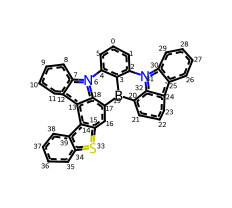 c1cc2c3c(c1)-n1c4ccccc4c4c5c(cc(c41)B3c1cccc3c4ccccc4n-2c13)sc1ccccc15